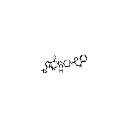 C[C@H](CC(=O)N1CCC(O)(Cn2cnn3c(S)ccc3c2=O)CC1)c1ccccc1